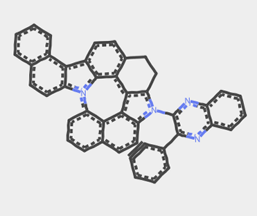 c1cccc(-c2nc3ccccc3nc2-n2c3c4c5c(ccc6c7c8ccccc8ccc7n(c7cccc8ccc2c4c87)c65)CC3)c#1